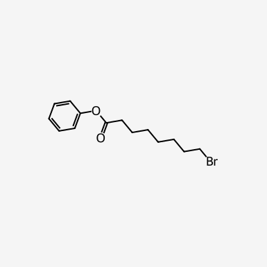 O=C(CCCCCCCBr)Oc1ccccc1